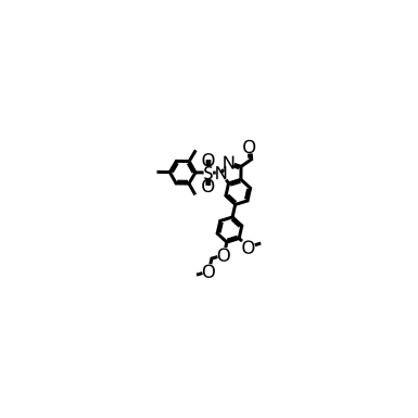 COCOc1ccc(-c2ccc3c(C=O)nn(S(=O)(=O)c4c(C)cc(C)cc4C)c3c2)cc1OC